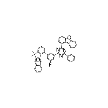 CC1(C)c2cccc(-c3cc(F)cc(-c4nc(-c5ccccc5)nc(-c5cccc6oc7ccccc7c56)n4)c3)c2-c2c1c1oc2c2ccccc12